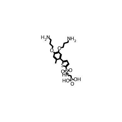 Cc1cc(OCCCN)c(OCCCN)cc1-c1ccc(S(=O)(=O)NCP(=O)(O)O)s1